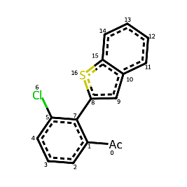 CC(=O)c1cccc(Cl)c1-c1cc2ccccc2s1